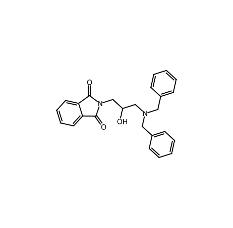 O=C1c2ccccc2C(=O)N1CC(O)CN(Cc1ccccc1)Cc1ccccc1